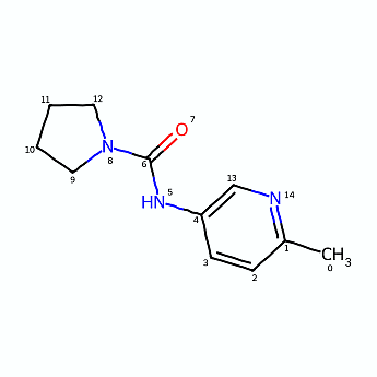 Cc1ccc(NC(=O)N2CCCC2)cn1